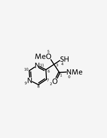 CNC(=O)C(S)(OC)c1ccncn1